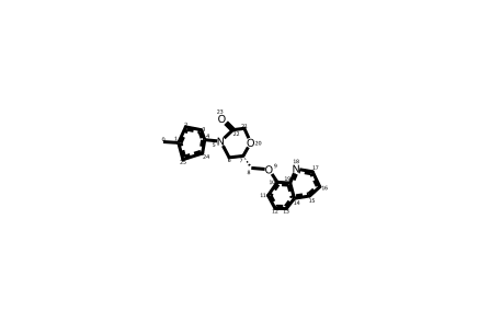 Cc1ccc(N2C[C@@H](COc3cccc4cccnc34)OCC2=O)cc1